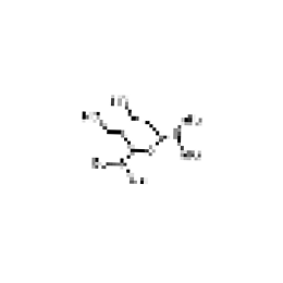 CCCCN(CCCC)C(CCO)OC(CCO)N(CCCC)CCCC